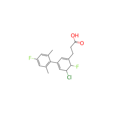 Cc1cc(F)cc(C)c1C1=CC(Cl)C(F)C(CCC(=O)O)=C1